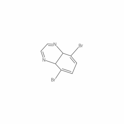 BrC1=CC=C(Br)C2N=CC=NC12